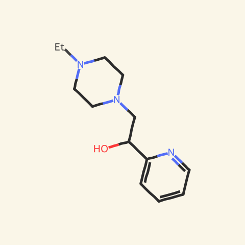 CCN1CCN(CC(O)c2ccccn2)CC1